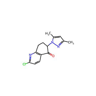 Cc1cc(C)n(C2CCc3nc(Cl)ccc3C2=O)n1